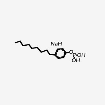 CCCCCCCCCc1ccc(OP(O)O)cc1.[NaH]